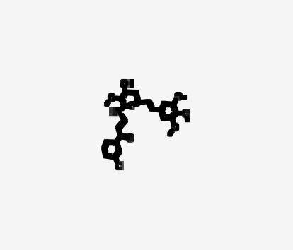 COc1cc(C=Cc2cc(O)c(OC)c(NC=CC(=O)c3cccc(Cl)c3)c2)cc(OC)c1OC